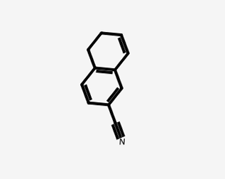 N#Cc1ccc2c(c1)C=CCC2